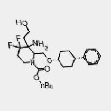 CCCCOC(=O)N1CCC(F)(F)C(N)(CCO)C1CO[C@H]1CC[C@@H](c2ccccc2)CC1